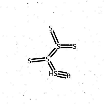 B#[SH]=S(=S)=S(=S)=S